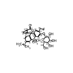 CN(C)c1ccc2c(c1)S(C)(C)c1cc(O[C@@H]3O[C@H](CO)[C@H](O)[C@H](O)[C@H]3O)c(CF)cc1C21OC(=O)c2ccccc21